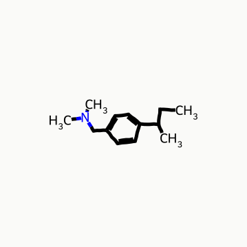 CCC(C)c1ccc(CN(C)C)cc1